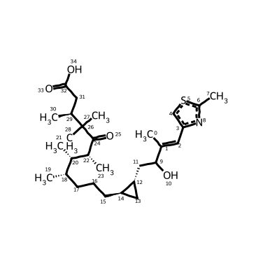 C/C(=C\c1csc(C)n1)C(O)C[C@@H]1C[C@H]1CCC[C@H](C)[C@H](C)[C@@H](C)C(=O)C(C)(C)[C@@H](C)CC(=O)O